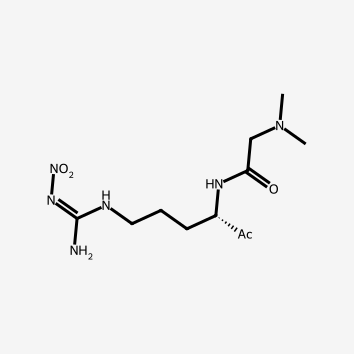 CC(=O)[C@H](CCCN/C(N)=N\[N+](=O)[O-])NC(=O)CN(C)C